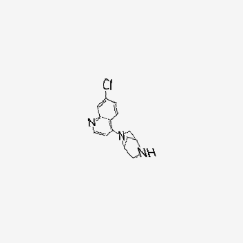 Clc1ccc2c(N3CC4CC3CN4)ccnc2c1